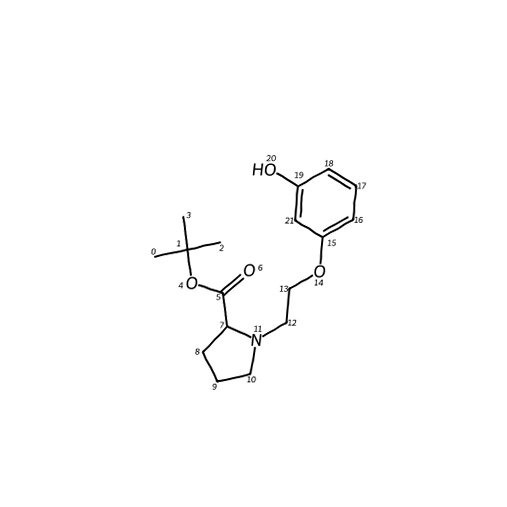 CC(C)(C)OC(=O)C1CCCN1CCOc1cccc(O)c1